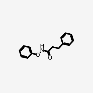 O=C(CCc1ccccc1)NOc1ccccc1